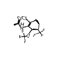 CC(=O)Nc1c(Cl)ccc(C(F)(F)F)c1OC(F)(F)F